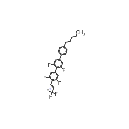 CCCCCc1ccc(-c2cc(F)c(-c3cc(F)c(/C=C/C(F)(F)F)c(F)c3)c(F)c2)cc1